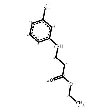 CCOC(=O)CCNc1cccc(S)c1